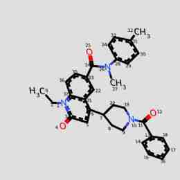 CCn1c(=O)cc(C2CCN(C(=O)c3ccccc3)CC2)c2cc(C(=O)N(C)c3ccc(C)cc3)ccc21